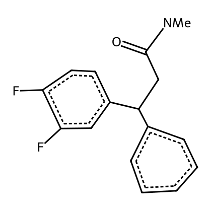 CNC(=O)CC(c1ccccc1)c1ccc(F)c(F)c1